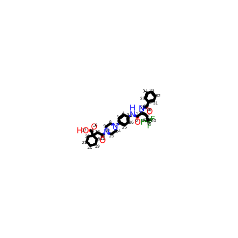 O=C(Nc1ccc(N2CCN(C(=O)CC3(C(=O)O)CCCCC3)CC2)cc1)c1nc(-c2ccccc2)oc1C(F)(F)F